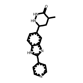 CC1CC(c2ccc3[nH]c(-c4ccncc4)nc3c2)NNC1=O